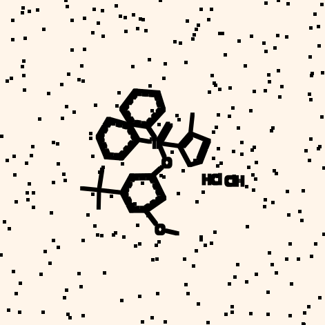 Cl.Cl.[CH2]=[Ti]([O]c1cc(OC)cc(C(C)(C)C)c1)([C]1=C(C)C=CC1)([c]1ccccc1)[c]1ccccc1